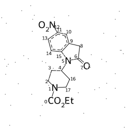 CCOC(=O)N1CCC(N2C(=O)Cc3cc([N+](=O)[O-])ccc32)CC1